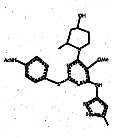 COc1c(Nc2cc(C)[nH]n2)nc(Sc2ccc(NC(C)=O)cc2)nc1N1CCC(O)CC1C